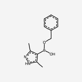 Cc1n[nH]c(C)c1B(O)OCc1ccccc1